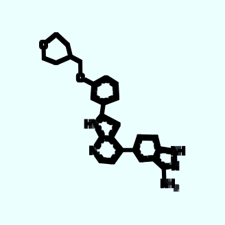 Nc1n[nH]c2ccc(-c3ccnc4[nH]c(-c5cccc(OCC6CCOCC6)c5)cc34)cc12